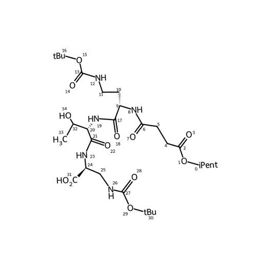 CCCC(C)OC(=O)CCC(=O)N[C@@H](CCNC(=O)OC(C)(C)C)C(=O)N[C@H](C(=O)N[C@@H](CNC(=O)OC(C)(C)C)C(=O)O)C(C)O